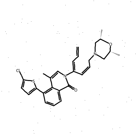 C=C/C=C(\C=C/CN1C[C@@H](C)O[C@@H](C)C1)n1cc(C)c2c(-c3ccc(Cl)s3)cccc2c1=O